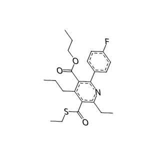 CCCOC(=O)c1c(-c2ccc(F)cc2)nc(CC)c(C(=O)SCC)c1CCC